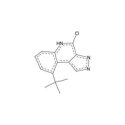 CC(C)(C)c1cccc2[nH]c(Cl)c3nncc-3c12